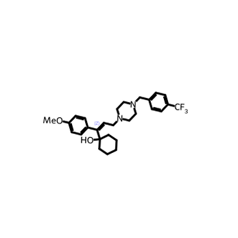 COc1ccc(/C(=C/CN2CCN(Cc3ccc(C(F)(F)F)cc3)CC2)C2(O)CCCCC2)cc1